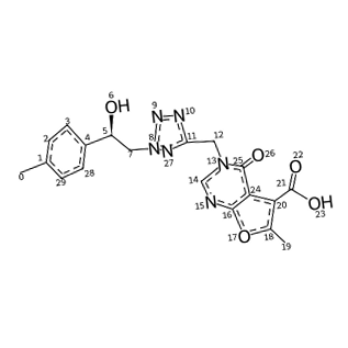 Cc1ccc([C@@H](O)Cn2nnc(Cn3cnc4oc(C)c(C(=O)O)c4c3=O)n2)cc1